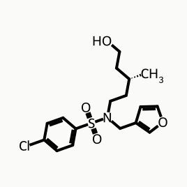 C[C@@H](CCO)CCN(Cc1ccoc1)S(=O)(=O)c1ccc(Cl)cc1